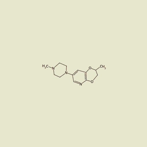 CC1COc2ncc(N3CCN(C)CC3)cc2O1